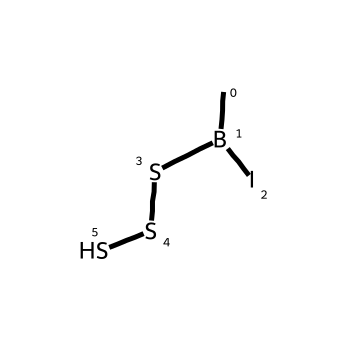 CB(I)SSS